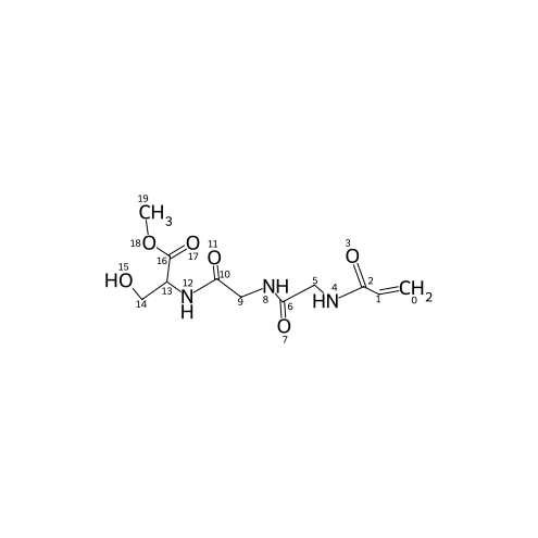 C=CC(=O)NCC(=O)NCC(=O)NC(CO)C(=O)OC